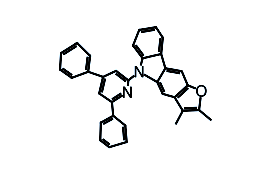 Cc1oc2cc3c4ccccc4n(-c4cc(-c5ccccc5)cc(-c5ccccc5)n4)c3cc2c1C